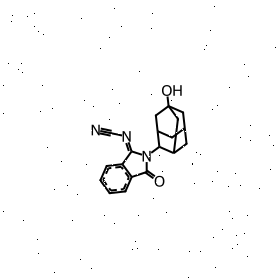 N#CN=C1c2ccccc2C(=O)N1C1C2CC3CC1CC(O)(C3)C2